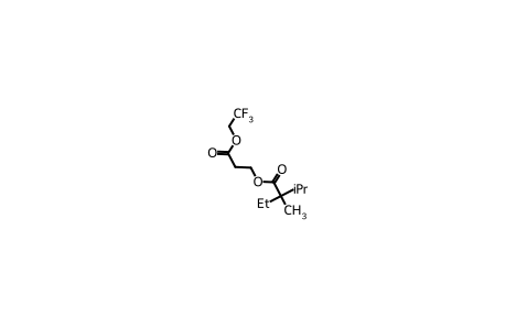 CCC(C)(C(=O)OCCC(=O)OCC(F)(F)F)C(C)C